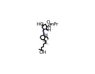 C=C1/C(=C\C=C2/CCC[C@]3(C)[C@@H]([C@H](C)CCCC(C)(C)O)CC[C@@H]23)C[C@@H](O)C[C@@H]1NC(=O)CCC